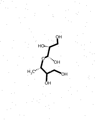 C[C@H](O[C@@H](O)[C@H](O)CO)C(O)CO